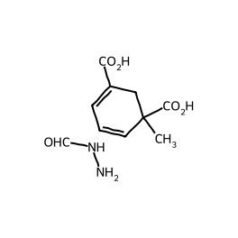 CC1(C(=O)O)C=CC=C(C(=O)O)C1.NNC=O